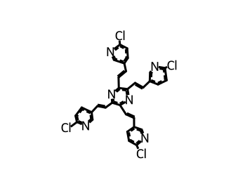 Clc1ccc(C=Cc2nc(C=Cc3ccc(Cl)nc3)c(C=Cc3ccc(Cl)nc3)nc2C=Cc2ccc(Cl)nc2)cn1